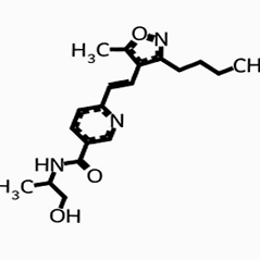 CCCCc1noc(C)c1C=Cc1ccc(C(=O)NC(C)CO)cn1